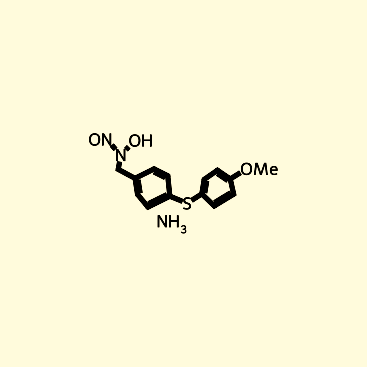 COc1ccc(Sc2ccc(CN(O)N=O)cc2)cc1.N